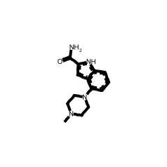 CN1CCN(c2cccc3[nH]c(C(N)=O)cc23)CC1